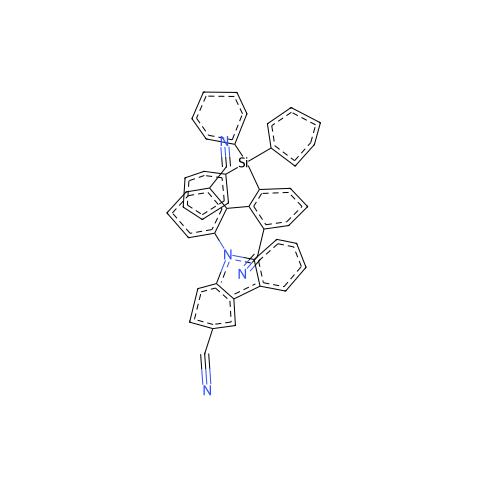 N#Cc1ccc2c(c1)c1ccccc1n2-c1cccc(C#N)c1-c1c(C#N)cccc1[Si](c1ccccc1)(c1ccccc1)c1ccccc1